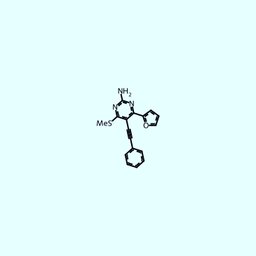 CSc1nc(N)nc(-c2ccco2)c1C#Cc1ccccc1